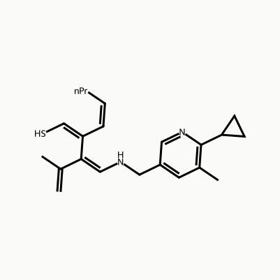 C=C(C)C(=C/NCc1cnc(C2CC2)c(C)c1)/C(/C=C\CCC)=C\S